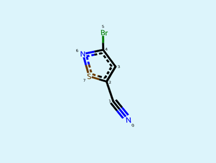 N#Cc1cc(Br)ns1